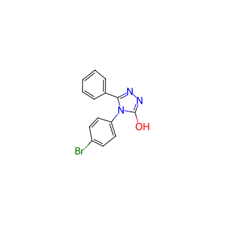 Oc1nnc(-c2ccccc2)n1-c1ccc(Br)cc1